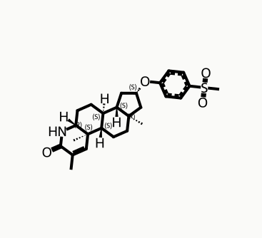 CC1=C[C@@]2(C)[C@@H](CC[C@H]3[C@@H]4C[C@H](Oc5ccc(S(C)(=O)=O)cc5)C[C@@]4(C)CC[C@@H]32)NC1=O